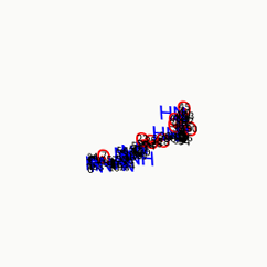 Cc1cccc(C(=O)NC2CC(n3cnc4c(NC5CCN(C(=O)COCCOCCNc6cccc7c6C(=O)N([C@H]6CCC(=O)NC6=O)C7=O)CC5)ncnc43)C2)n1